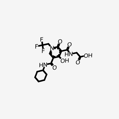 O=C(O)CNC(=O)c1c(O)c(C(=O)NC2CCCCC2)cn(CC(F)(F)F)c1=O